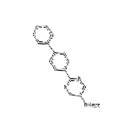 CCCCCCCc1cnc(-c2ccc(-c3ccccc3)cc2)nc1